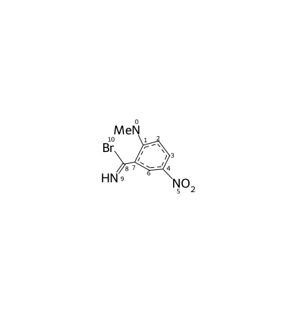 CNc1ccc([N+](=O)[O-])cc1C(=N)Br